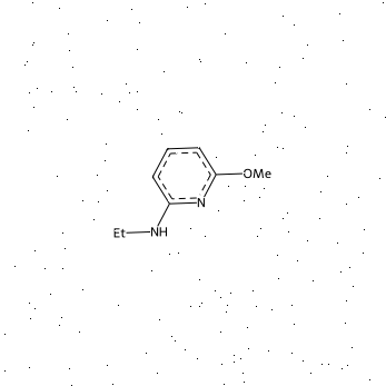 CCNc1cccc(OC)n1